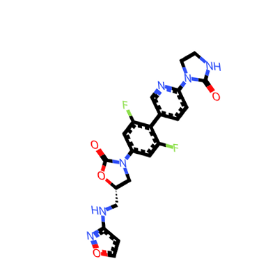 O=C1O[C@@H](CNc2ccon2)CN1c1cc(F)c(-c2ccc(N3CCNC3=O)nc2)c(F)c1